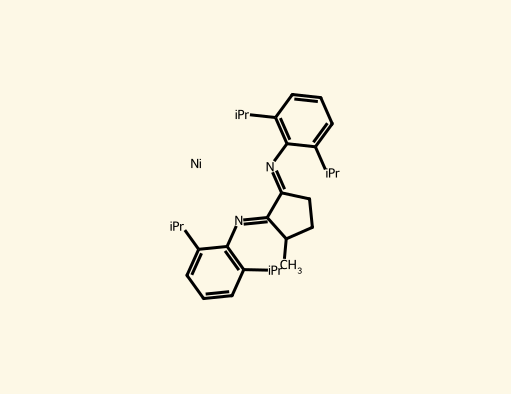 CC1CCC(=Nc2c(C(C)C)cccc2C(C)C)C1=Nc1c(C(C)C)cccc1C(C)C.[Ni]